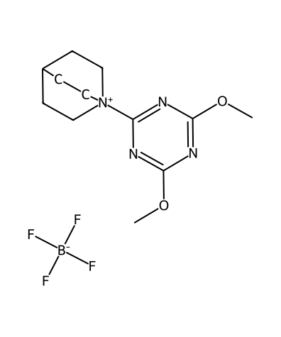 COc1nc(OC)nc([N+]23CCC(CC2)CC3)n1.F[B-](F)(F)F